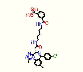 Cc1ccc2c(c1)C(c1ccc(Cl)cc1)=N[C@@H](CC(=O)NCCCCCNC(=O)c1cccc(B(O)O)c1)c1nnc(C)n1-2